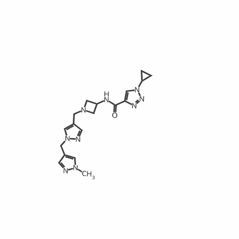 Cn1cc(Cn2cc(CN3CC(NC(=O)c4cn(C5CC5)nn4)C3)cn2)cn1